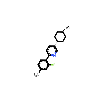 CCC[C@H]1CC[C@H](c2ccc(-c3ccc(C)cc3F)nc2)CC1